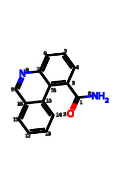 NC(=O)c1cccc2ncc3ccccc3c12